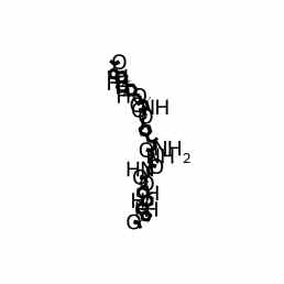 CC(=O)[C@H]1CC[C@H]2[C@@H]3CC[C@H]4C[C@](C)(OC(=O)CNC(=O)CNC(=O)[C@@H](N)C(C)Cc5ccc(COC(=O)N[C@@H](C)C(=O)O[C@]6(C)CC[C@@]7(C)[C@@H](CC[C@@H]8[C@@H]7CC[C@]7(C)[C@@H](C(C)=O)CC[C@@H]87)C6)cc5)CC[C@]4(C)[C@H]3CC[C@]12C